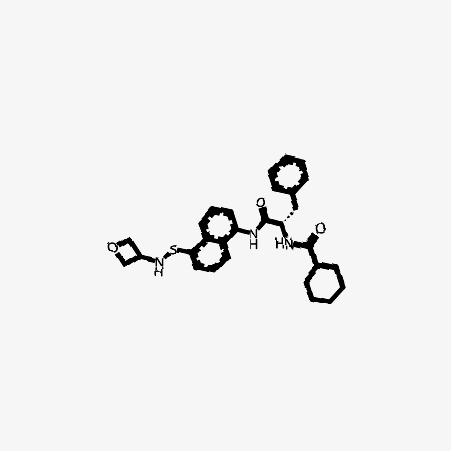 O=C(N[C@@H](Cc1ccccc1)C(=O)Nc1cccc2c(SNC3COC3)cccc12)C1CCCCC1